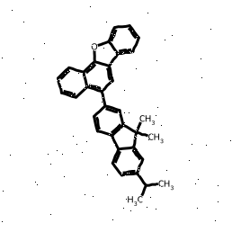 CC(C)c1ccc2c(c1)C(C)(C)c1cc(-c3cc4c5ccccc5oc4c4ccccc34)ccc1-2